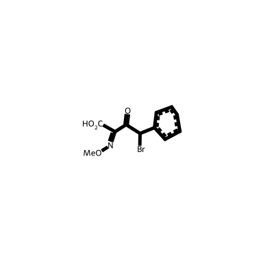 CON=C(C(=O)O)C(=O)C(Br)c1ccccc1